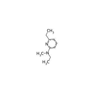 CCc1cccc(N(C)CC)n1